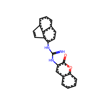 N=C(Nc1ccc2cccc3c2c1C=C3)Nc1cc2ccccc2oc1=O